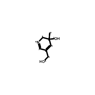 CC1(O)C=C(CO)C=NC1